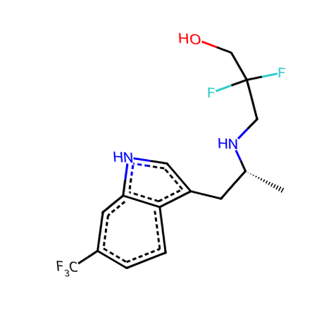 C[C@H](Cc1c[nH]c2cc(C(F)(F)F)ccc12)NCC(F)(F)CO